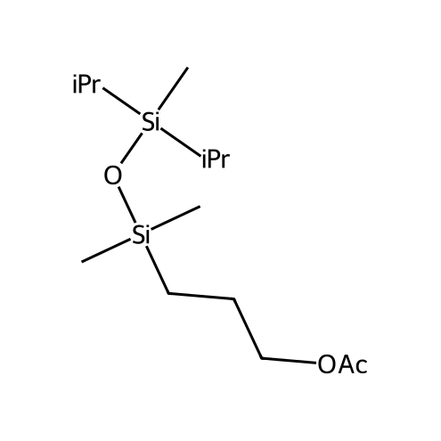 CC(=O)OCCC[Si](C)(C)O[Si](C)(C(C)C)C(C)C